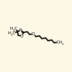 CCCCCCCCOCCC1=NC(C)(C)CO1